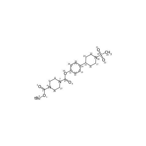 CC(C)(C)OC(=O)N1CCN(C(=O)Oc2ccc(C3CCN(S(C)(=O)=O)CC3)cc2)CC1